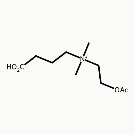 CC(=O)OCC[N+](C)(C)CCCC(=O)O